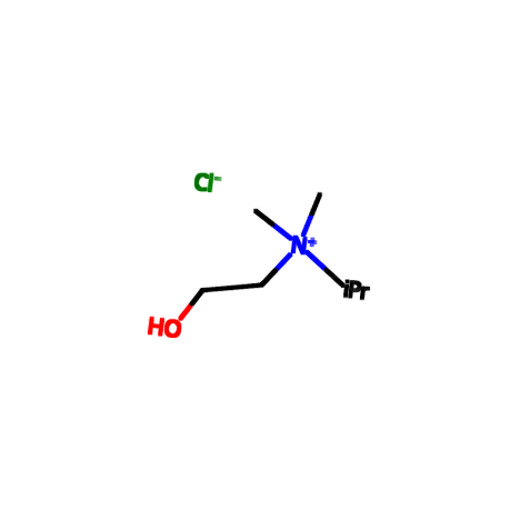 CC(C)[N+](C)(C)CCO.[Cl-]